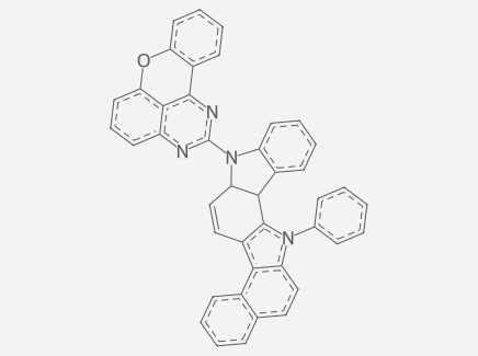 C1=CC2C(c3ccccc3N2c2nc3c4c(cccc4n2)Oc2ccccc2-3)c2c1c1c3ccccc3ccc1n2-c1ccccc1